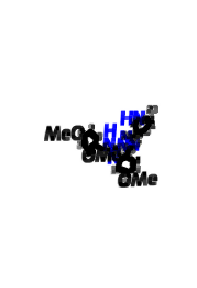 COc1ccc(CNc2nc3cc(OC)ccc3c3nc([C@H]4CC[C@@H](C)NC4)nn23)c(OC)c1